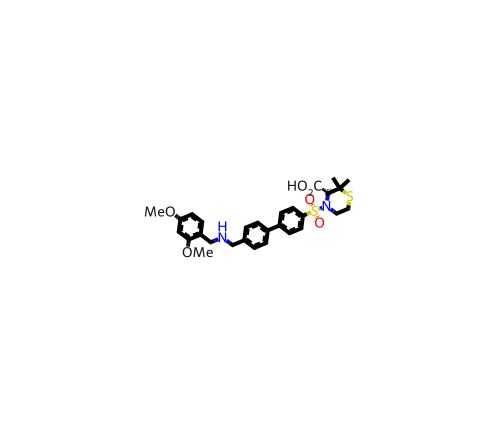 COc1ccc(CNCc2ccc(-c3ccc(S(=O)(=O)N4CCSC(C)(C)[C@@H]4C(=O)O)cc3)cc2)c(OC)c1